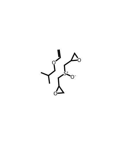 C=COCC(C)C.[O-][S+](CC1CO1)CC1CO1